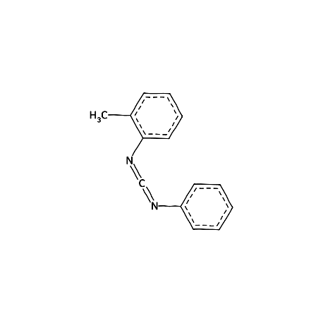 Cc1ccccc1N=C=Nc1ccccc1